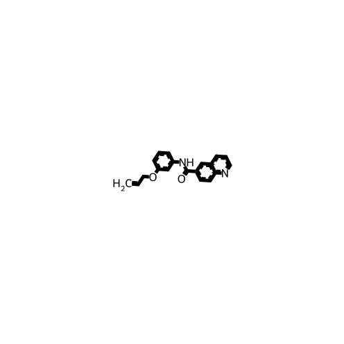 C=CCOc1cccc(NC(=O)c2ccc3ncccc3c2)c1